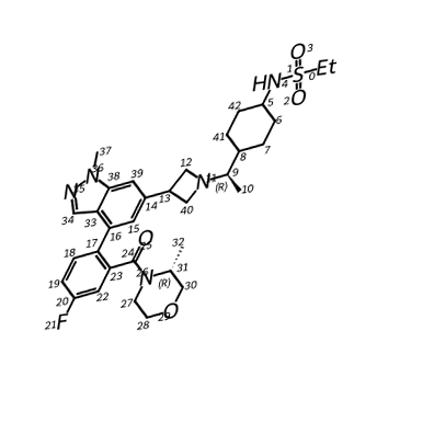 CCS(=O)(=O)NC1CCC([C@@H](C)N2CC(c3cc(-c4ccc(F)cc4C(=O)N4CCOC[C@H]4C)c4cnn(C)c4c3)C2)CC1